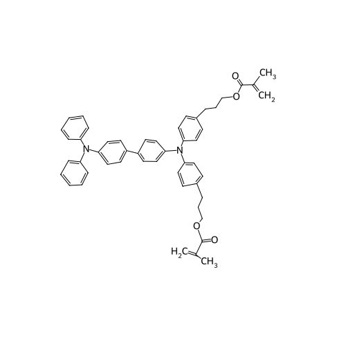 C=C(C)C(=O)OCCCc1ccc(N(c2ccc(CCCOC(=O)C(=C)C)cc2)c2ccc(-c3ccc(N(c4ccccc4)c4ccccc4)cc3)cc2)cc1